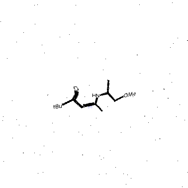 COCC(C)N/C(C)=C\C(=O)C(C)(C)C